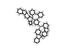 CC1(C)c2ccccc2-c2ccc(N(c3ccc4c(c3)-c3ccccc3-c3ccccc3C43c4ccccc4-c4cc5c(cc43)sc3ccccc35)c3cccc4oc5ccccc5c34)cc21